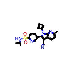 Cc1ccc2c(C#N)c(-c3ccc(S(=O)(=O)NC(C)C)nc3)n(C3=CC=C3)c2n1